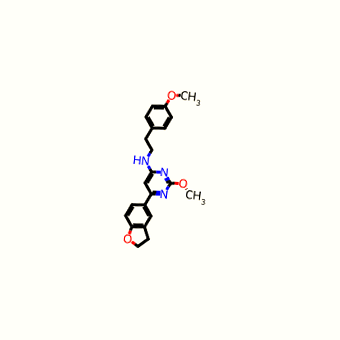 COc1ccc(CCNc2cc(-c3ccc4c(c3)CCO4)nc(OC)n2)cc1